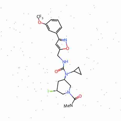 CNC(=O)N1C[C@@H](F)C[C@@H](N(C(=O)NCc2cc(-c3cccc(OC(F)(F)F)c3)no2)C2CC2)C1